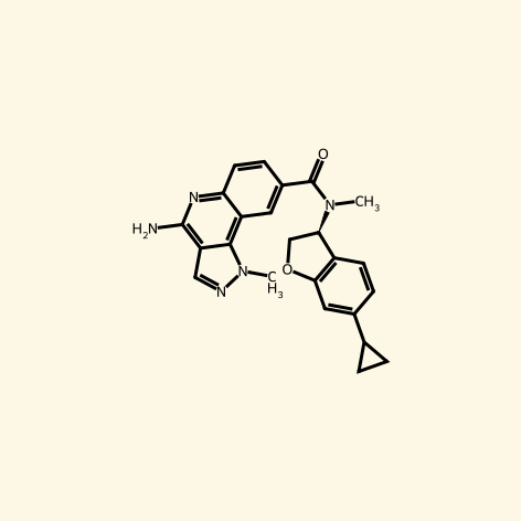 CN(C(=O)c1ccc2nc(N)c3cnn(C)c3c2c1)[C@@H]1COc2cc(C3CC3)ccc21